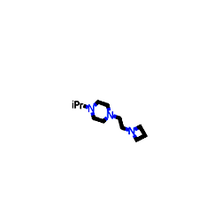 CC(C)N1CCN(CCN2CCC2)CC1